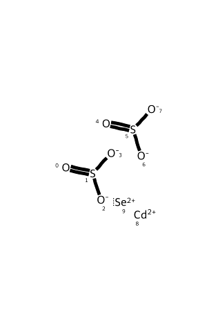 O=S([O-])[O-].O=S([O-])[O-].[Cd+2].[Se+2]